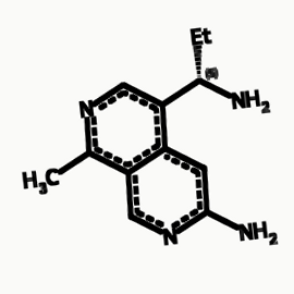 CC[C@H](N)c1cnc(C)c2cnc(N)cc12